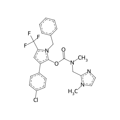 CN(Cc1nccn1C)C(=O)Oc1c(-c2ccc(Cl)cc2)cc(C(F)(F)F)n1Cc1ccccc1